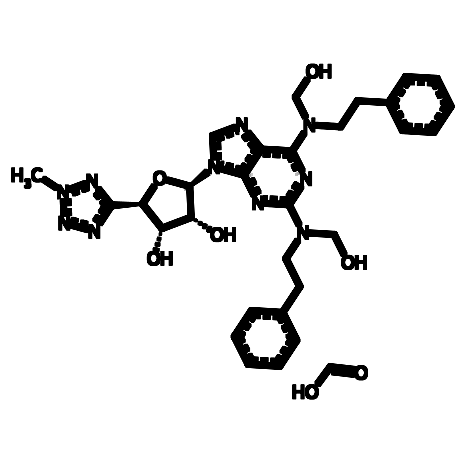 Cn1nnc([C@H]2O[C@@H](n3cnc4c(N(CO)CCc5ccccc5)nc(N(CO)CCc5ccccc5)nc43)[C@H](O)[C@@H]2O)n1.O=CO